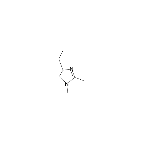 CCC1CN(C)C(C)=N1